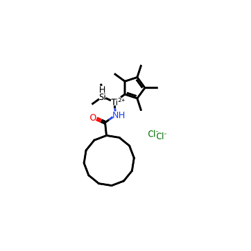 CC1=C(C)C(C)[C]([Ti+2]([NH]C(=O)C2CCCCCCCCCCC2)[SiH](C)C)=C1C.[Cl-].[Cl-]